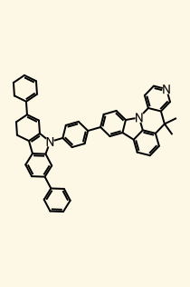 CC1(C)c2cnccc2-n2c3ccc(-c4ccc(-n5c6c(c7ccc(-c8ccccc8)cc75)CCC(C5=CC=CCC5)=C6)cc4)cc3c3cccc1c32